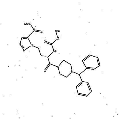 COC(=O)c1cnnn1CC[C@H](NC(=O)OC(C)(C)C)C(=O)N1CCN(C(c2ccccc2)c2ccccc2)CC1